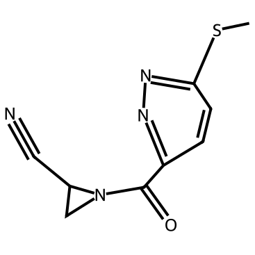 CSc1ccc(C(=O)N2CC2C#N)nn1